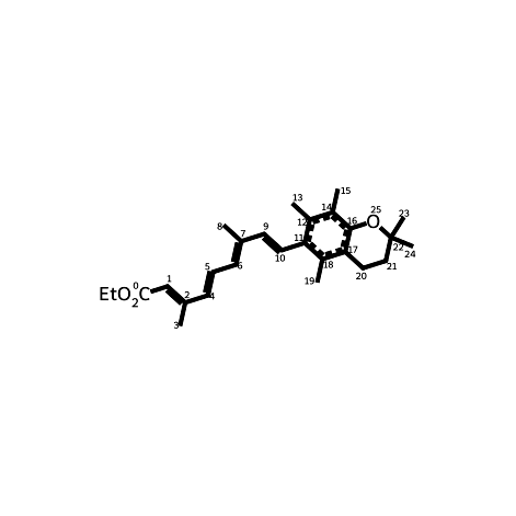 CCOC(=O)C=C(C)C=CC=C(C)C=Cc1c(C)c(C)c2c(c1C)CCC(C)(C)O2